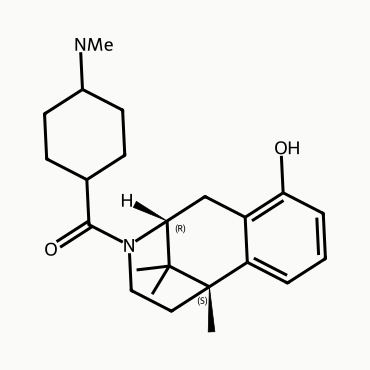 CNC1CCC(C(=O)N2CC[C@@]3(C)c4cccc(O)c4C[C@@H]2C3(C)C)CC1